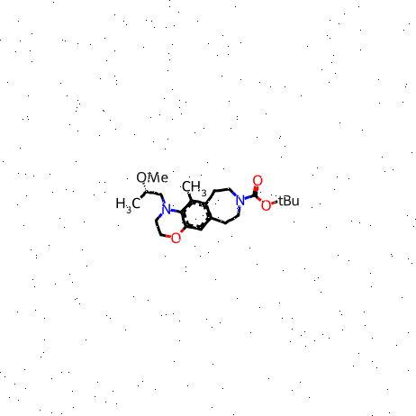 CO[C@@H](C)CN1CCOc2cc3c(c(C)c21)CCN(C(=O)OC(C)(C)C)CC3